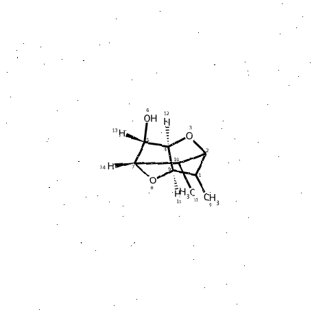 CC1C2O[C@@H]3[C@@H](O)[C@@H](O[C@H]13)C2C